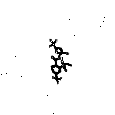 CCS(=O)(=O)c1cc(C(F)(F)F)ccc1C(=O)Nc1oc(C(F)(F)F)cc1Br